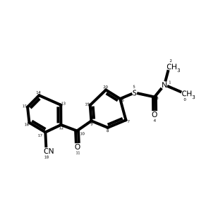 CN(C)C(=O)Sc1ccc(C(=O)c2ccccc2C#N)cc1